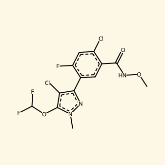 CONC(=O)c1cc(-c2nn(C)c(OC(F)F)c2Cl)c(F)cc1Cl